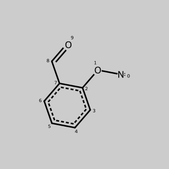 [N]Oc1ccccc1C=O